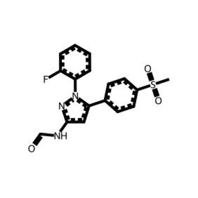 CS(=O)(=O)c1ccc(-c2cc(NC=O)nn2-c2ccccc2F)cc1